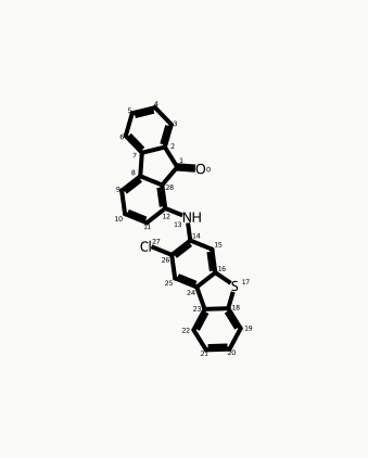 O=C1c2ccccc2-c2cccc(Nc3cc4sc5ccccc5c4cc3Cl)c21